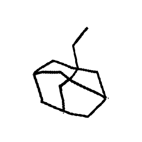 CCC12C[C]3C[C](CC(C3)C1)C2